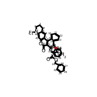 CCN1CCCc2cc3c(-c4ccccc4C(=O)NC(C)SC(=O)OCc4ccccc4)c(-c4nc5ccccc5s4)c(=O)oc3cc21